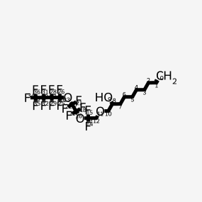 C=CCCCCCCC(O)COCC(F)(F)OC(F)(F)C(F)(F)OC(F)(F)C(F)(F)C(F)(F)C(F)(F)F